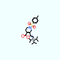 Cc1ccc(S(=O)(=O)N2CCC3=C(C2)/C(=C/[Si](C(C)C)(C(C)C)C(C)C)OC3=O)cc1